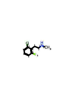 CNCCc1c(F)cccc1Cl